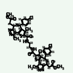 COC(=O)CC1N=C(c2ccc(Cl)cc2)c2c(sc(C(=O)NCCNC(=O)c3sc4c(c3C)C(c3ccc(Cl)cc3)=NC(CC(=O)OC)c3nnc(C)n3-4)c2C)-n2c(C)nnc21